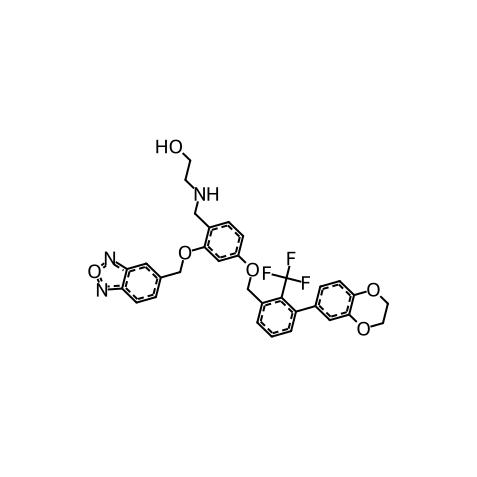 OCCNCc1ccc(OCc2cccc(-c3ccc4c(c3)OCCO4)c2C(F)(F)F)cc1OCc1ccc2nonc2c1